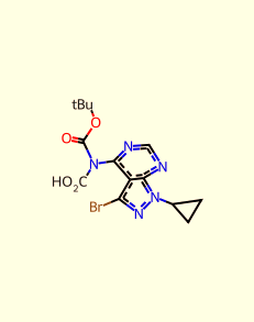 CC(C)(C)OC(=O)N(C(=O)O)c1ncnc2c1c(Br)nn2C1CC1